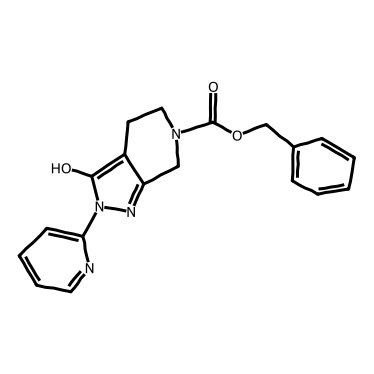 O=C(OCc1ccccc1)N1CCc2c(nn(-c3ccccn3)c2O)C1